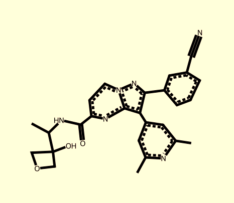 Cc1cc(-c2c(-c3cccc(C#N)c3)nn3ccc(C(=O)NC(C)C4(O)COC4)nc23)cc(C)n1